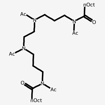 CCCCCCCCC(=O)N(CCCN(CCN(CCCN(C(C)=O)C(=O)CCCCCCCC)C(C)=O)C(C)=O)C(C)=O